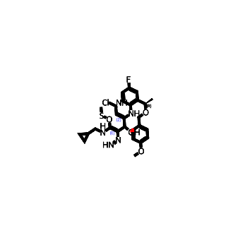 COc1ccc(CO[C@H](C)c2cc(F)ccc2N/C(=C\C(=N)Cl)C(O)/C(N=N)=C(/NCC2CC2)OSC)cc1